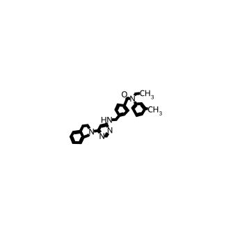 CCN(C(=O)c1ccc(CNc2cc(N3CCc4ccccc4C3)ncn2)cc1)c1cccc(C)c1